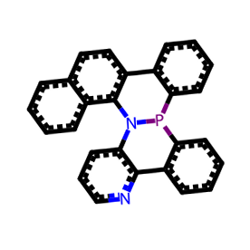 c1ccc2c(c1)-c1ccc3ccccc3c1N1c3cccnc3-c3ccccc3P21